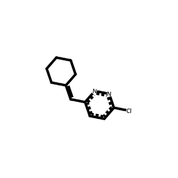 Clc1ccc(C=C2CCCCC2)nn1